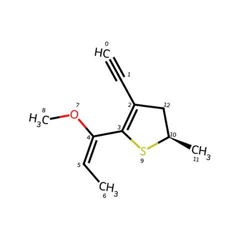 C#CC1=C(/C(=C\C)OC)S[C@H](C)C1